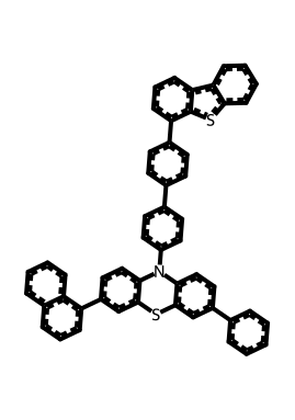 c1ccc(-c2ccc3c(c2)Sc2cc(-c4cccc5ccccc45)ccc2N3c2ccc(-c3ccc(-c4cccc5c4sc4ccccc45)cc3)cc2)cc1